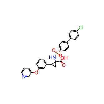 O=C(O)C1(NS(=O)(=O)c2ccc(-c3ccc(Cl)cc3)cc2)CC1c1cccc(Oc2cccnc2)c1